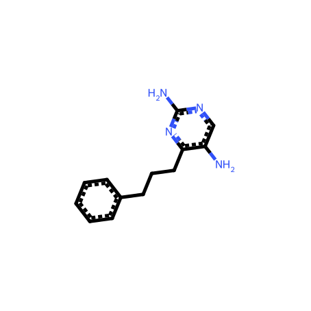 Nc1ncc(N)c(CCCc2ccccc2)n1